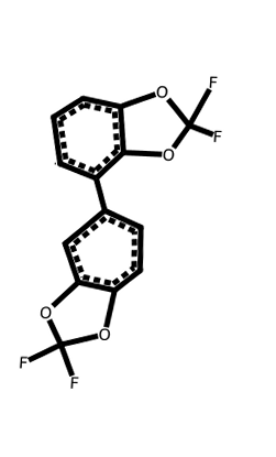 FC1(F)Oc2ccc(-c3[c]ccc4c3OC(F)(F)O4)cc2O1